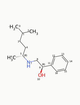 [CH2]C(C)CC[C@@H](C)NC[C@H](O)c1ccccc1